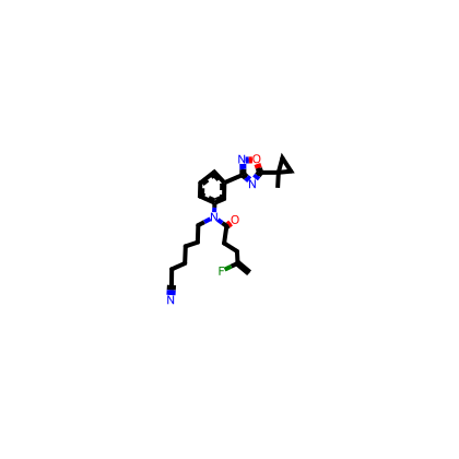 C=C(F)CCC(=O)N(CCCCCC#N)c1cccc(-c2noc(C3(C)CC3)n2)c1